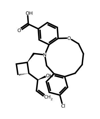 C=C[C@H](O)[C@@H]1CC[C@H]1CN1Cc2ccc(Cl)cc2CCCCOc2ccc(C(=O)O)cc21